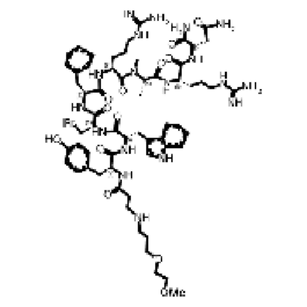 COCCOCCCNCCC(=O)N[C@@H](Cc1ccc(O)cc1)C(=O)N[C@@H](Cc1c[nH]c2ccccc12)C(=O)N[C@@H](CC(C)C)C(=O)N[C@@H](Cc1ccccc1)C(=O)N[C@@H](CCCNC(=N)N)C(=O)N(C)[C@@H](C)C(=O)N[C@@H](CCCNC(=N)N)C(=O)N[C@@H](CC(N)=O)C(N)=O